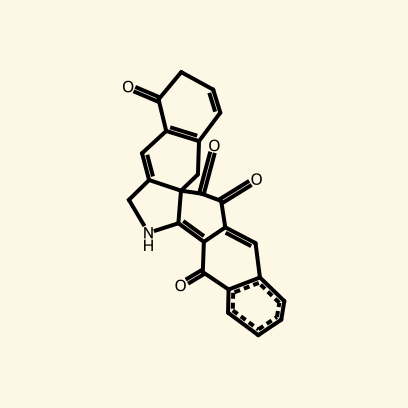 O=C1CC=CC2=C1C=C1CNC3=C4C(=O)c5ccccc5C=C4C(=O)C(=O)C13C2